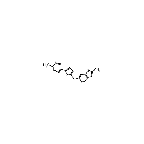 Cc1ncc(-c2ccc(Cc3ccc4cc(C)sc4c3)s2)cn1